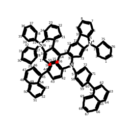 c1ccc(-n2c3ccccc3c3cc(-c4cccc5c4-c4ccccc4S5(c4ccccc4)c4ccccc4)c(N(c4ccc(-c5cccc6ccccc56)cc4)c4ccc(-c5cccc6ccccc56)cc4)cc32)cc1